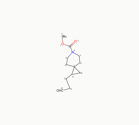 CC(C)(C)OC(=O)N1CCC2(CC1)CC2CCC=O